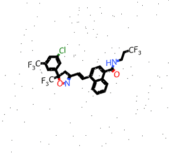 O=C(NCCC(F)(F)F)c1ccc(/C=C/C2=NOC(c3cc(Cl)cc(C(F)(F)F)c3)(C(F)(F)F)C2)c2ccccc12